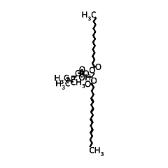 CCCCC/C=C/C/C=C/C/C=C/C/C=C/CCCC(=O)O[C@H](COC(=O)CCCCCCCCCCCCCCC)COP(=O)(O)OCC[N+](C)(C)C